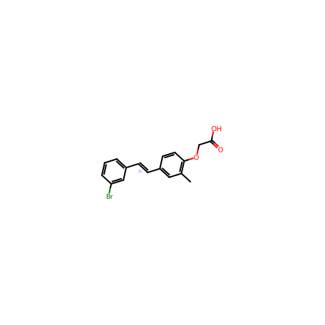 Cc1cc(/C=C/c2cccc(Br)c2)ccc1OCC(=O)O